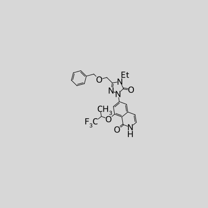 CCn1c(COCc2ccccc2)nn(-c2cc(OC(C)C(F)(F)F)c3c(=O)[nH]ccc3c2)c1=O